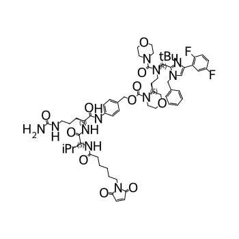 CC(C)[C@H](NC(=O)CCCCCN1C(=O)C=CC1=O)C(=O)N[C@@H](CCCNC(N)=O)C(=O)Nc1ccc(COC(=O)N2CCOC[C@@H]2CCN(C(=O)N2CCOCC2)[C@@H](c2nc(-c3cc(F)ccc3F)cn2Cc2ccccc2)C(C)(C)C)cc1